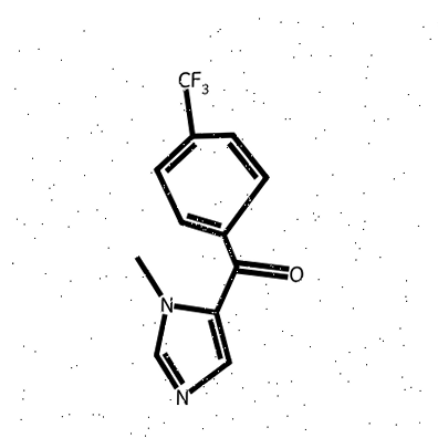 Cn1cncc1C(=O)c1ccc(C(F)(F)F)cc1